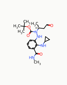 CNC(=O)c1cccc(NN(C(=O)OC(C)(C)C)[C@@H](C)CC=O)c1NC1CC1